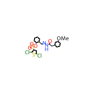 COc1cccc(CC(=O)NN=Cc2ccccc2OS(=O)(=O)c2cc(Cl)sc2Cl)c1